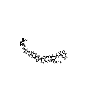 COc1cc(CCC(=O)N2CCCCC2=O)cc(OC)c1OCCN1CCN(C(=O)CN2CCC(C(=O)Nc3ncc(SCc4ncc(C(C)(C)C)o4)s3)CC2)CC1